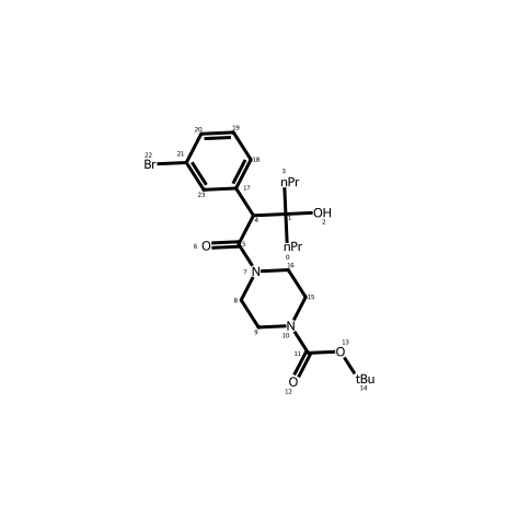 CCCC(O)(CCC)C(C(=O)N1CCN(C(=O)OC(C)(C)C)CC1)c1cccc(Br)c1